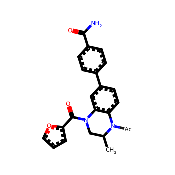 CC(=O)N1c2ccc(-c3ccc(C(N)=O)cc3)cc2N(C(=O)c2ccco2)CC1C